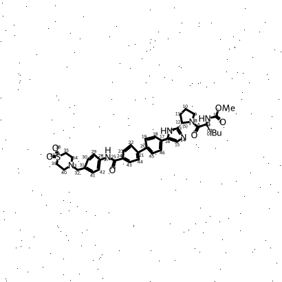 CC[C@H](C)[C@H](NC(=O)OC)C(=O)N1CCC[C@H]1c1ncc(-c2ccc(-c3ccc(C(=O)Nc4ccc(CN5CCS(=O)(=O)CC5)cc4)cc3)cc2)[nH]1